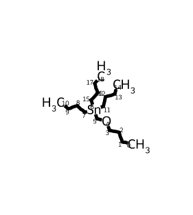 CCCCO[CH2][Sn]([CH2]CCC)([CH2]CCC)[CH2]CCC